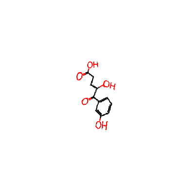 O=C(O)CCC(O)C(=O)c1cccc(O)c1